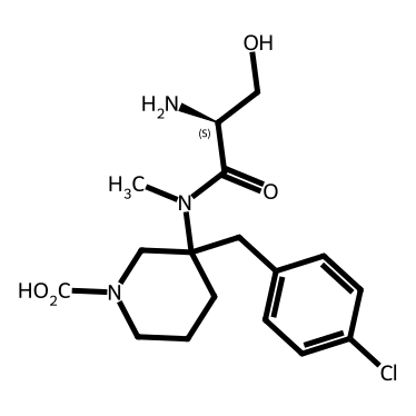 CN(C(=O)[C@@H](N)CO)C1(Cc2ccc(Cl)cc2)CCCN(C(=O)O)C1